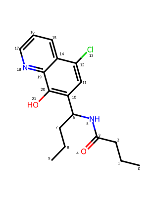 CCCC(=O)NC(CCC)c1cc(Cl)c2cccnc2c1O